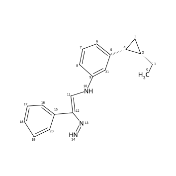 CC[C@H]1C[C@H]1c1cccc(N/C=C(\N=N)c2ccccc2)c1